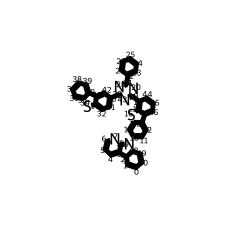 C1=CC2c3cccnc3N(c3ccc4c(c3)sc3c(-c5nc(-c6ccccc6)nc(-c6ccc7sc8ccccc8c7c6)n5)cccc34)C2C=C1